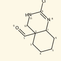 O=CC12CCCCC1N=C(Cl)NC2